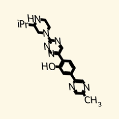 Cc1cnc(-c2ccc(-c3cnc(N4CCNC(C(C)C)C4)nn3)c(O)c2)cn1